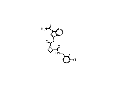 NC(=O)n1nc(CC(=O)N2CCC2C(=O)NCc2cccc(Cl)c2F)c2ccccc21